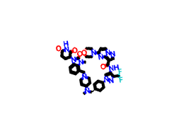 CN(C[C@H]1CC[C@H](n2cc(NC(=O)c3cnn4ccc(N5CCOCC5)nc34)c(C(F)F)n2)CC1)C1CCN(Cc2cccc3c2n(C)c(=O)n3C2CCC(=O)NC2=O)CC1